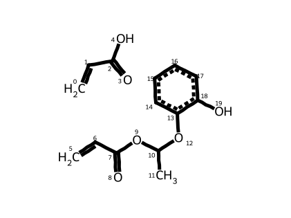 C=CC(=O)O.C=CC(=O)OC(C)Oc1ccccc1O